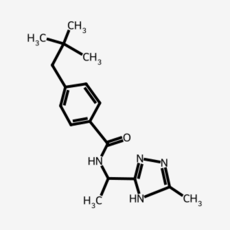 Cc1nnc(C(C)NC(=O)c2ccc(CC(C)(C)C)cc2)[nH]1